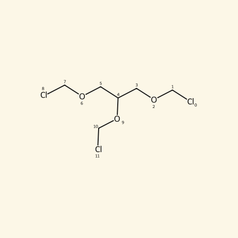 ClCOCC(COCCl)OCCl